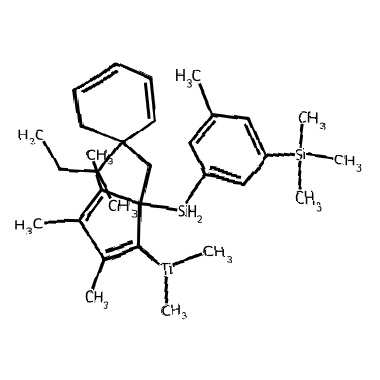 CCC(C)C1(CC2([SiH2]c3cc(C)cc([Si](C)(C)C)c3)C(C)=C(C)C(C)=[C]2[Ti]([CH3])[CH3])C=CC=CC1